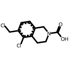 O=C(O)N1CCc2c(ccc(CCl)c2Cl)C1